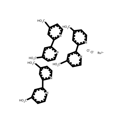 O=C(O)c1ccnc(-c2cc(C(=O)O)ccn2)c1.O=C(O)c1ccnc(-c2cc(C(=O)O)ccn2)c1.O=C(O)c1ccnc(-c2cc(C(=O)O)ccn2)c1.[Cl-].[Cl-].[Ru+2]